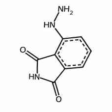 NNc1cccc2c1C(=O)NC2=O